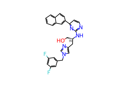 OC[C@H](Cc1cn(Cc2cc(F)cc(F)c2)cn1)Nc1nccc(-c2ccc3ccccc3c2)n1